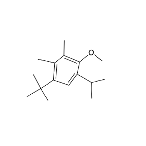 COc1c(C(C)C)cc(C(C)(C)C)c(C)c1C